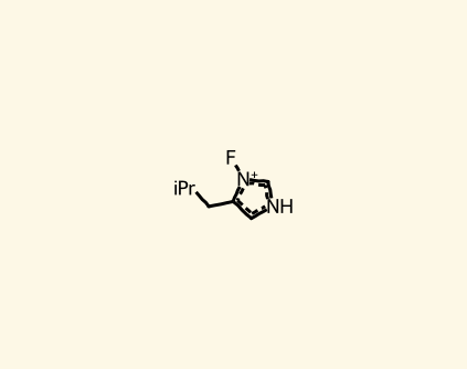 CC(C)Cc1c[nH]c[n+]1F